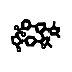 Cc1cn(-c2ccc(-c3cccc(S(C)(=O)=O)c3)cc2-c2nc(C)oc2-c2ccc(N3CCCC3=O)cc2)c(C)n1